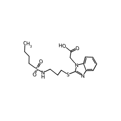 CCCCS(=O)(=O)NCCCSc1nc2ccccc2n1CC(=O)O